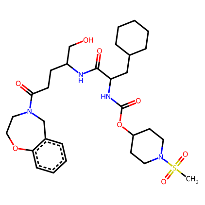 CS(=O)(=O)N1CCC(OC(=O)NC(CC2CCCCC2)C(=O)NC(CO)CCC(=O)N2CCOc3ccccc3C2)CC1